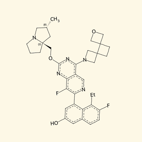 CCc1c(F)ccc2cc(O)cc(-c3ncc4c(N5CC6(CCC67COC7)C5)nc(OC[C@@]56CCCN5C[C@H](C)C6)nc4c3F)c12